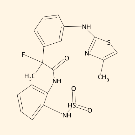 Cc1csc(Nc2cccc(C(C)(F)C(=O)Nc3ccccc3N[SH](=O)=O)c2)n1